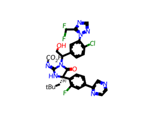 CC(C)(C)C[C@]1(c2ccc(-c3cnccn3)cc2F)NC(=NC(=O)O)N(C(CO)c2ccc(Cl)c(-n3ncnc3C(F)F)c2)C1=O